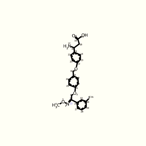 CO/N=C(\COc1ccc(COc2ccc(C(N)CC(=O)O)cc2)cc1)c1cccc(F)c1